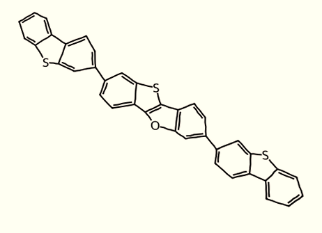 c1ccc2c(c1)sc1cc(-c3ccc4c(c3)oc3c5ccc(-c6ccc7c(c6)sc6ccccc67)cc5sc43)ccc12